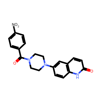 O=C(c1ccc([N+](=O)[O-])cc1)N1CCN(c2ccc3[nH]c(=O)ccc3c2)CC1